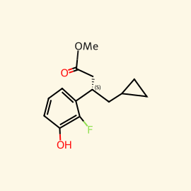 COC(=O)C[C@H](CC1CC1)c1cccc(O)c1F